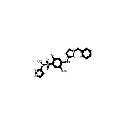 Cc1cc(S(=O)(=O)N(C(=O)O)c2ccsn2)c(F)cc1N[C@H]1CCN(Cc2ccccc2)C1